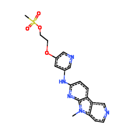 Cn1c2ccncc2c2ccc(Nc3cncc(OCCOS(C)(=O)=O)c3)nc21